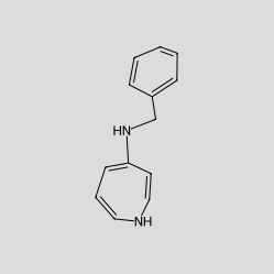 C1=CNC=CC(NCc2ccccc2)=C1